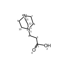 O=C(O)CC[N+]12CCN(CC1)CC2